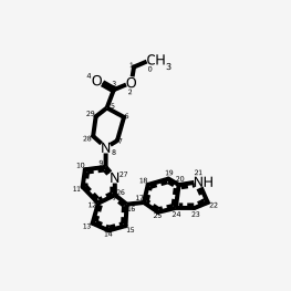 CCOC(=O)C1CCN(c2ccc3cccc(-c4ccc5[nH]ccc5c4)c3n2)CC1